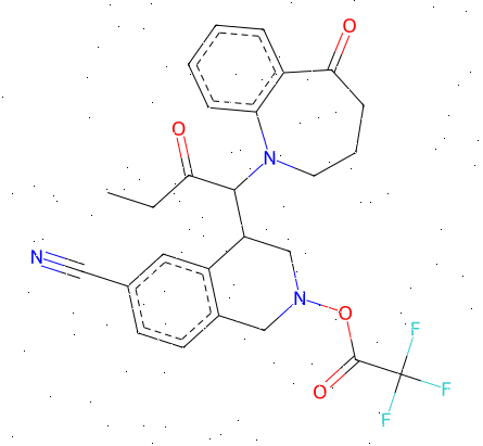 CCC(=O)C(C1CN(OC(=O)C(F)(F)F)Cc2ccc(C#N)cc21)N1CCCC(=O)c2ccccc21